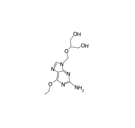 CCOc1nc(N)nc2c1ncn2COC(CO)CO